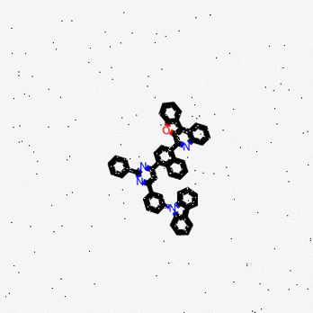 c1ccc(-c2nc(-c3cccc(-n4c5ccccc5c5ccccc54)c3)cc(-c3ccc(-c4nc5ccccc5c5c4oc4ccccc45)c4ccccc34)n2)cc1